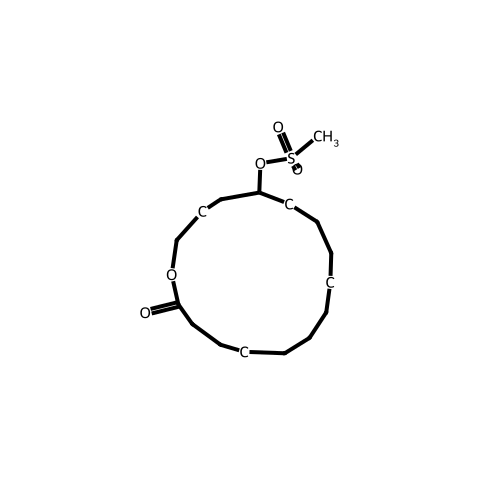 CS(=O)(=O)OC1CCCCCCCCCCC(=O)OCCC1